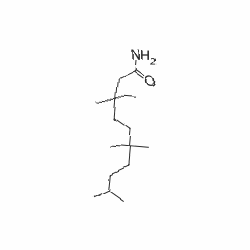 CC(C)CCC(C)(C)CCC(C)(C)CC(N)=O